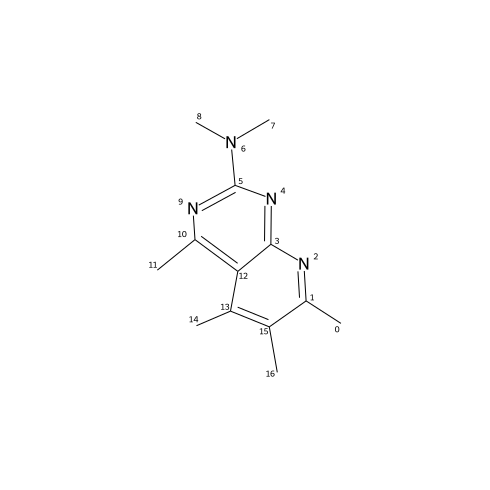 Cc1nc2nc(N(C)C)nc(C)c2c(C)c1C